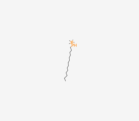 CCCCCCCCCCCCCCPP(C)(C)(C)C